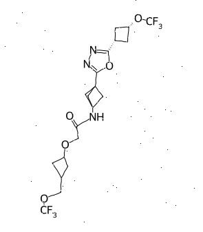 O=C(COC1CC(COC(F)(F)F)C1)NC12CC(c3nnc([C@H]4C[C@@H](OC(F)(F)F)C4)o3)(C1)C2